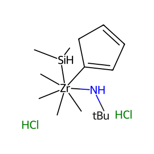 C[SiH](C)[Zr]([CH3])([CH3])([CH3])([CH3])([NH]C(C)(C)C)[C]1=CC=CC1.Cl.Cl